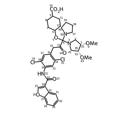 CO[C@H]1CN(C(OC2CCC(C(=O)O)CC2)(C(=O)Cc2cc(Cl)c(NC(=O)c3coc4ccccc34)cc2Cl)N2CCCC2)C[C@H]1OC